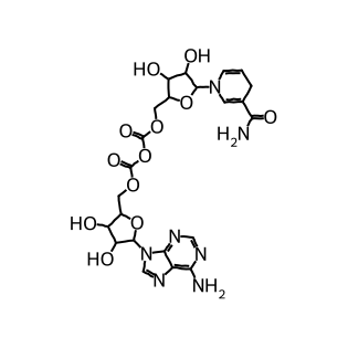 NC(=O)C1=CN(C2OC(COC(=O)OC(=O)OCC3OC(n4cnc5c(N)ncnc54)C(O)C3O)C(O)C2O)C=CC1